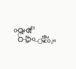 CCn1cc(-n2ccc(=O)c(Cc3cccc(-c4ncc(OCC5CCN(C(=O)O)C(C(C)(C)C)C5)cn4)c3)n2)cn1